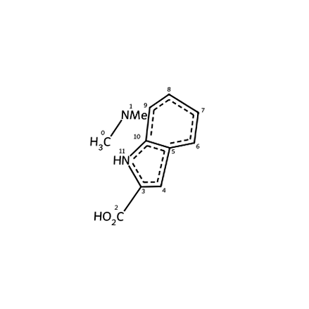 CNC.O=C(O)c1cc2ccccc2[nH]1